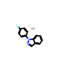 Br.Fc1ccc(-n2ncc3ccccc32)cc1